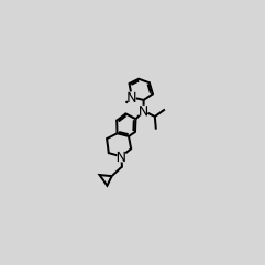 CC(C)N(c1ccc2c(c1)CN(CC1CC1)CC2)C1C=CC=CN1C